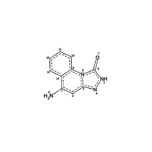 Nc1cc2n[nH]c(=O)n2c2ccccc12